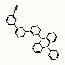 N#CC1=NC(C2=CCCC(C3=CC(N4C5=C(C=CCC5)N(C5C=CC=CC5)C5C=CC=CC54)CCC3)C2)CC=C1